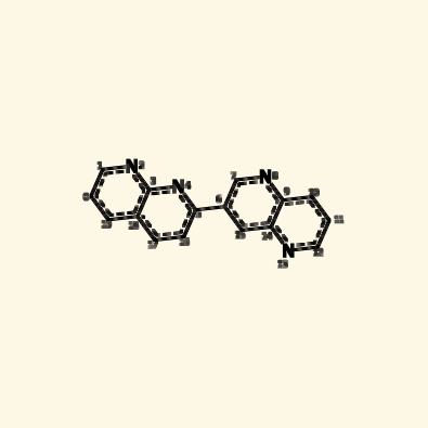 c1cnc2nc(-c3cnc4cccnc4c3)ccc2c1